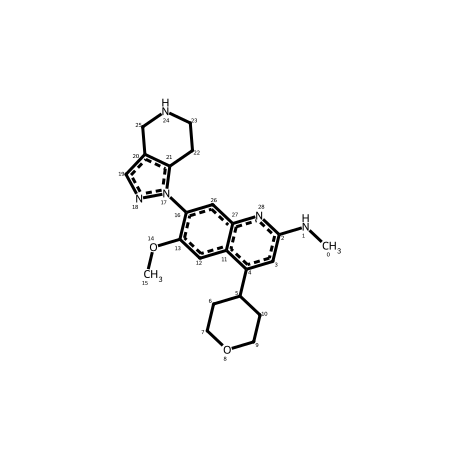 CNc1cc(C2CCOCC2)c2cc(OC)c(-n3ncc4c3CCNC4)cc2n1